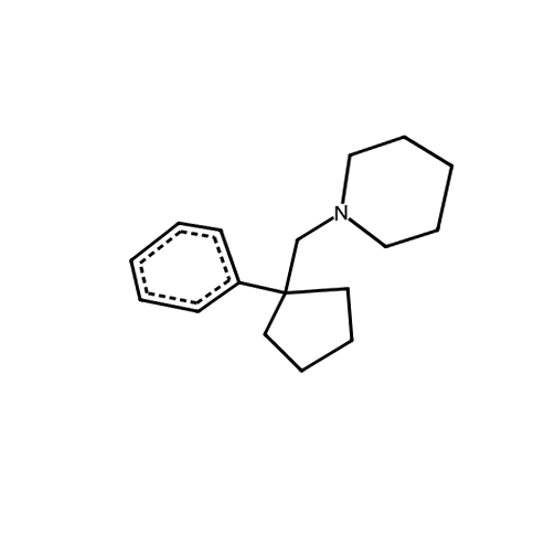 c1ccc(C2(CN3CCCCC3)CCCC2)cc1